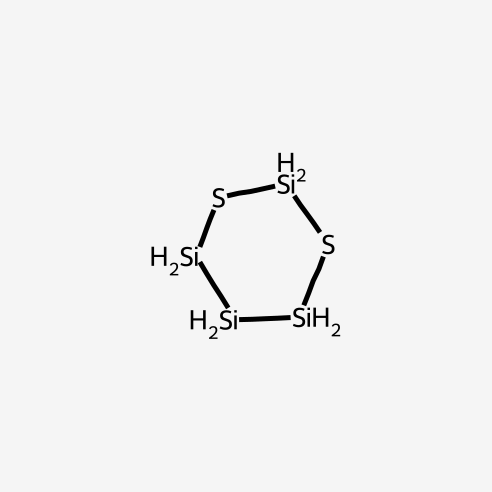 [SiH2]1[SiH2]S[SiH2]S[SiH2]1